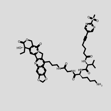 CC[C@@]1(O)C(=O)OCc2c1cc1n(c2=O)Cc2c-1nc1cc3c(cc1c2CCCNC(=O)CNC(=O)[C@H](CCCCN)NC(=O)[C@@H](NC(=O)CCCC#Cc1cnc(S(C)(=O)=O)nc1)C(C)C)OCO3